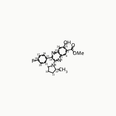 COC(=O)c1cc2nc(N3CCC[C@@H]3C)c(-c3ccc(F)cc3)nc2cc1O